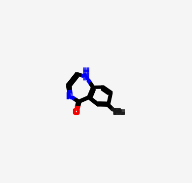 CC(C)(C)c1ccc2c(c1)C(=O)N=C=CN2